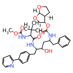 COC(=O)NC(C(=O)NC(Cc1ccc(-c2ccccn2)cc1)C(O)CC(Cc1ccccc1)NC(=O)O[C@H]1CO[C@H]2OCC[C@H]21)C(C)(C)C